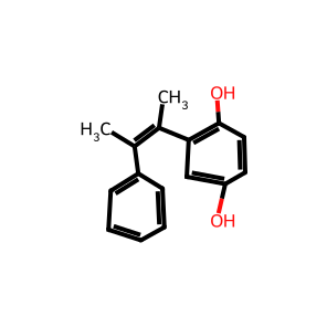 CC(=C(C)c1cc(O)ccc1O)c1ccccc1